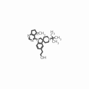 C[C@@H]1CCc2ncnc(N3CC4(CCN(C(C)(C)C)CC4)c4cc(CCO)ccc43)c21